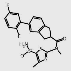 Cc1nc(N(C)C(=O)C2Cc3ccc(-c4cc(F)ccc4F)cc3C2)sc1[S+](N)[O-]